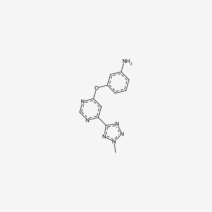 Cn1nnc(-c2cc(Oc3cccc(N)c3)ncn2)n1